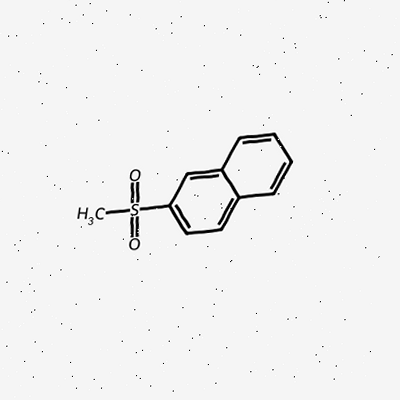 CS(=O)(=O)c1ccc2[c]cccc2c1